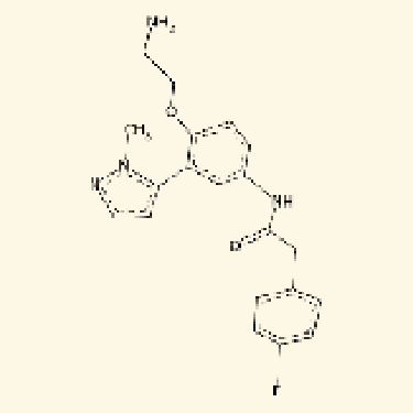 Cn1nccc1-c1cc(NC(=O)Cc2ccc(F)cc2)ccc1OCCN